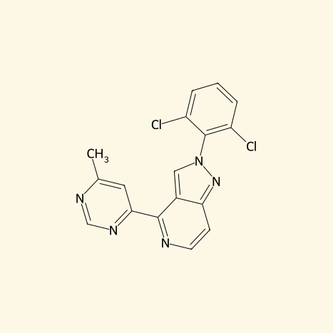 Cc1cc(-c2nccc3nn(-c4c(Cl)cccc4Cl)cc23)ncn1